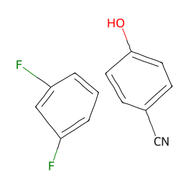 Fc1cccc(F)c1.N#Cc1ccc(O)cc1